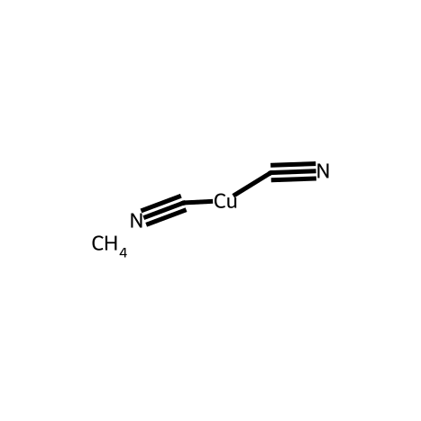 C.N#[C][Cu][C]#N